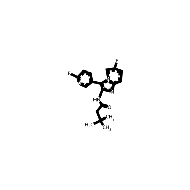 CC(C)(C)CC(=O)Nc1nc2ccc(F)cn2c1-c1ccc(F)nc1